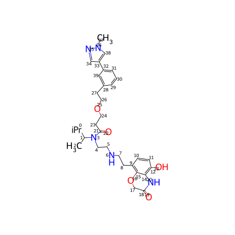 CC(C)C(C)N(CCNCCc1ccc(O)c2c1OCC(=O)N2)C(=O)CCOCCc1cccc(-c2cnn(C)c2)c1